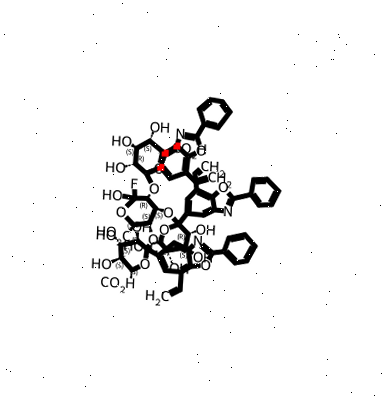 C=Cc1cc(C2(O[C@H]3[C@H](OC4(c5cc(C=C)c6oc(-c7ccccc7)nc6c5)O[C@H](C(=O)O)[C@@H](O)[C@H](O)[C@H]4O)[C@@H](OC4(c5cc(C=C)c6oc(-c7ccccc7)nc6c5)O[C@H](C(=O)O)[C@@H](O)[C@H](O)[C@H]4O)C(O)(F)O[C@@H]3C(=O)O)O[C@H](C(=O)O)[C@@H](O)[C@H](O)[C@H]2O)cc2nc(-c3ccccc3)oc12